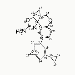 NC1=NC2(CO1)c1cc(C3=C/C=C/C=C/C(C4CC4)=C\3)ccc1OCC21CC1